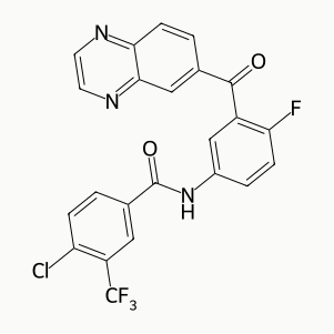 O=C(Nc1ccc(F)c(C(=O)c2ccc3nccnc3c2)c1)c1ccc(Cl)c(C(F)(F)F)c1